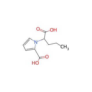 CCCC(C(=O)O)n1cccc1C(=O)O